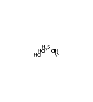 Cl.Cl.Cl.S.[V]